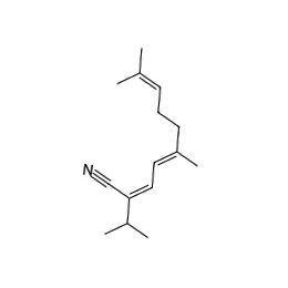 CC(C)=CCCC(C)=CC=C(C#N)C(C)C